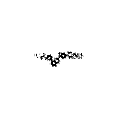 C=CC(=O)Nc1cccc(-c2cccc3cnc(Nc4ccc(N5CCN(CC(C)(C)O)CC5)cc4)nc23)n1